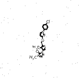 Cc1c(-n2nnn(C)c2=O)csc1COc1ccn(-c2ccc(Cl)cc2)n1